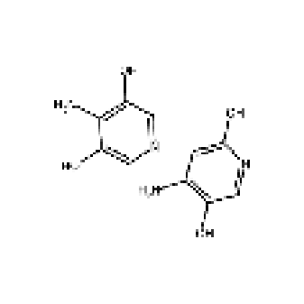 Nc1c(O)cncc1O.Nc1cc(O)ncc1O